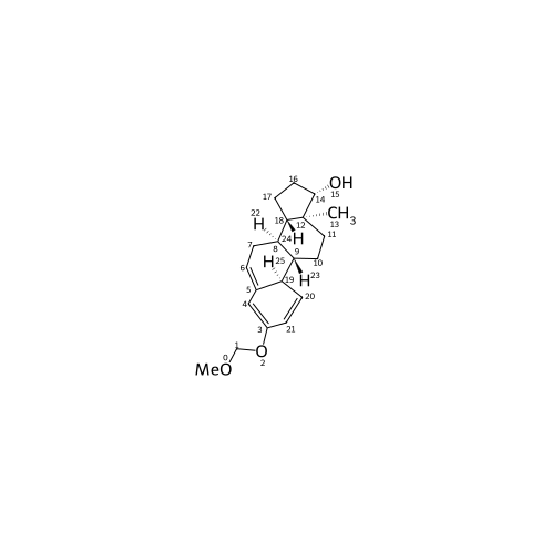 COCOC1=CC2=CC[C@@H]3[C@H](CC[C@]4(C)[C@@H](O)CC[C@@H]34)[C@H]2C=C1